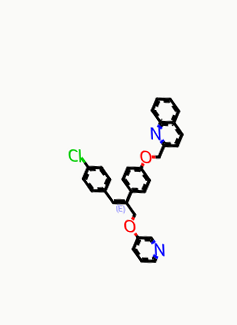 Clc1ccc(/C=C(/COc2cccnc2)c2ccc(OCc3ccc4ccccc4n3)cc2)cc1